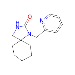 O=C1NCC2(CCCCC2)N1Cc1ccccn1